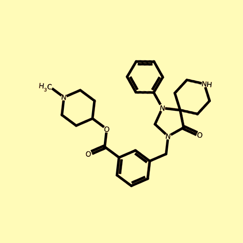 CN1CCC(OC(=O)c2cccc(CN3CN(c4ccccc4)C4(CCNCC4)C3=O)c2)CC1